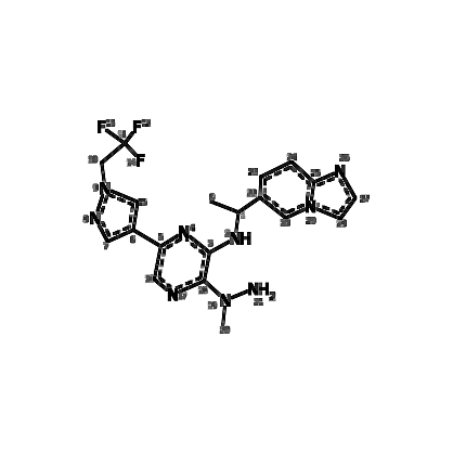 CC(Nc1nc(-c2cnn(CC(F)(F)F)c2)cnc1N(C)N)c1ccc2nccn2c1